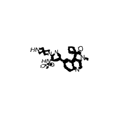 CN1C(=O)C2(CCC2)c2c1cnc1ccc(-c3cnc(N4CC5(CNC5)C4)c(NS(C)(=O)=O)c3)cc21